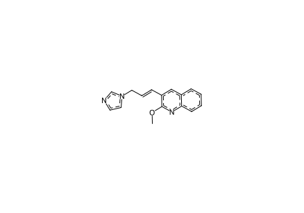 COc1nc2ccccc2cc1/C=C/Cn1ccnc1